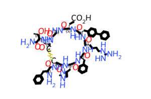 C[C@@H]1NC(=O)[C@H](CCC(=O)O)NC(=O)[C@H](Cc2ccc(-c3ccccc3)cc2)NC(=O)[C@H](CCCCNC(=N)N)NC(=O)[C@@H](Cc2ccccc2)NC(=O)[C@H](Cc2c[nH]cn2)NC(=O)[C@@H](NC(=O)[C@H](N)Cc2ccccc2)CSSC[C@H](C(=O)N[C@H](C(N)=O)[C@@H](C)O)NC1=O